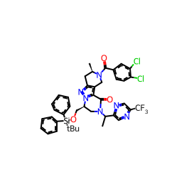 CC(c1cnc(C(F)(F)F)cn1)N1C[C@@H](CO[Si](c2ccccc2)(c2ccccc2)C(C)(C)C)n2nc3c(c2C1=O)CN(C(=O)c1ccc(Cl)c(Cl)c1)[C@H](C)C3